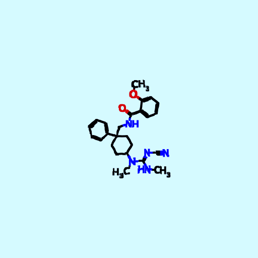 CNC(=NC#N)N(C)[C@H]1CC[C@](CNC(=O)c2ccccc2OC)(c2ccccc2)CC1